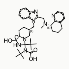 CN(Cc1nc2ccccc2n1C[C@@H]1CCCN(C(NC(=O)O)(N(C(=O)O)C(C)(C)C)C(C)(C)C)C1)[C@H]1CCCc2cccnc21